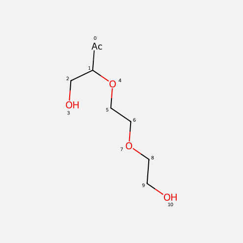 CC(=O)C(CO)OCCOCCO